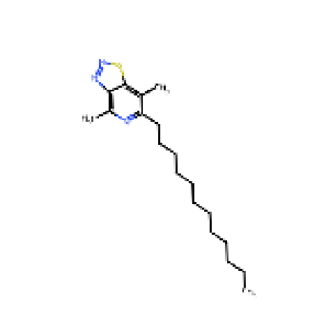 CCCCCCCCCCCCc1nc(C)c2nnsc2c1C